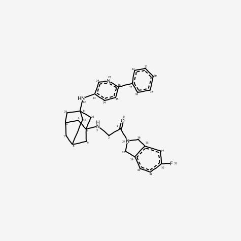 O=C(CNC12CC3CC(C1)CC(Nc1ccc(-c4ccccc4)nc1)(C3)C2)N1Cc2ccc(F)cc2C1